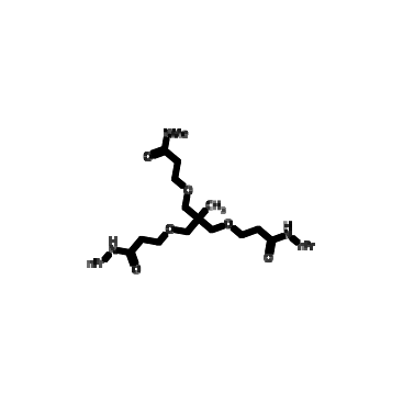 CCCNC(=O)CCOCC(C)(COCCC(=O)NC)COCCC(=O)NCCC